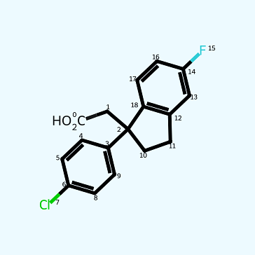 O=C(O)CC1(c2ccc(Cl)cc2)CCc2cc(F)ccc21